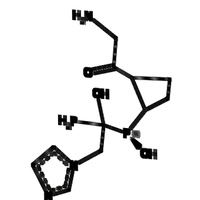 NCC(=O)C1CCC1[P@@](O)C(O)(P)Cn1ccnc1